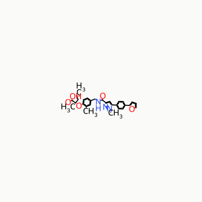 CCCC(C)(Oc1ccc(CNC(=O)c2cc(-c3ccc(-c4ccco4)cc3)n(C)n2)cc1C)C(=O)O